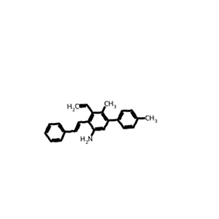 C=Cc1c(C)c(-c2ccc(C)cc2)cc(N)c1C=Cc1ccccc1